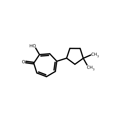 CC1(C)CCC(c2cccc(=O)c(O)c2)C1